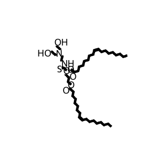 CCCCCCCC/C=C\CCCCCCCC(=O)OCC(COC(=S)NCCN(CCO)CCO)OC(=O)CCCCCCC/C=C\CCCCCCCC